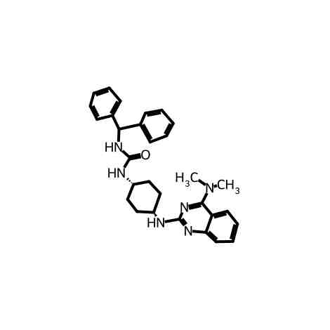 CN(C)c1nc(N[C@H]2CC[C@@H](NC(=O)NC(c3ccccc3)c3ccccc3)CC2)nc2ccccc12